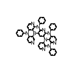 c1ccc(N2c3ccncc3B3c4cc5c(nc4N(c4ccccc4)c4nccc2c43)N(c2ccccc2)c2ccnc3c2N5c2cccnc2N3c2ccccc2)cc1